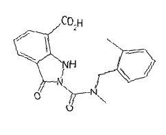 Cc1ccccc1CN(C)C(=O)n1[nH]c2c(C(=O)O)cccc2c1=O